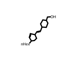 CCCCCCC1C=CC(/C=C/C2CCC(CO)CC2)CC1